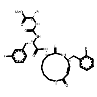 COC(=O)[C@@H](NC(=O)N[C@@H](Cc1cccc(F)c1)C(=O)N[C@H]1CCCCNC(=O)C=C[C@H](Cc2ccccc2F)NC1=O)C(C)C